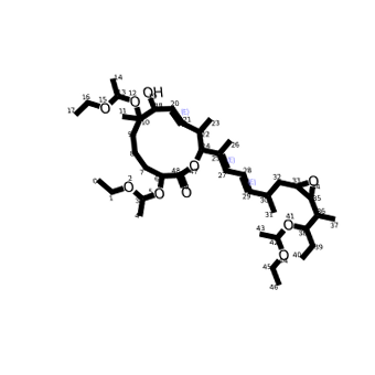 CCOC(C)OC1CCCC(C)(OC(C)OCC)C(O)/C=C/C(C)C(/C(C)=C/C=C/C(C)CC2OC2C(C)C(CC)OC(C)OCC)OC1=O